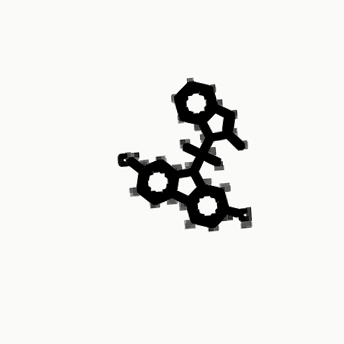 CC1=Cc2ccccc2C1C(C)(C)C1c2cc(Cl)ccc2-c2ccc(Cl)cc21